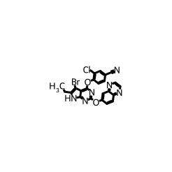 CCc1[nH]c2nc(Oc3ccc4nccnc4c3)nc(Oc3ccc(C#N)cc3Cl)c2c1Br